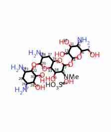 CNC1C(OC2OC(CO)C(N)C(O)C2O)OC2CC(N)C(OC3C(N)CC(N)C(O)C3O)OC2C1O.O=S(=O)(O)O